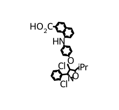 CC(C)C1ON=C(c2c(Cl)cccc2Cl)C1COc1ccc(Nc2cccc3ccc(C(=O)O)cc23)cc1